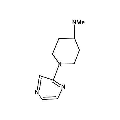 CNC1CCN(c2cnccn2)CC1